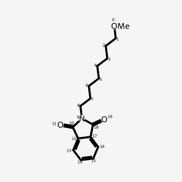 COCCCCCCCCN1C(=O)c2ccccc2C1=O